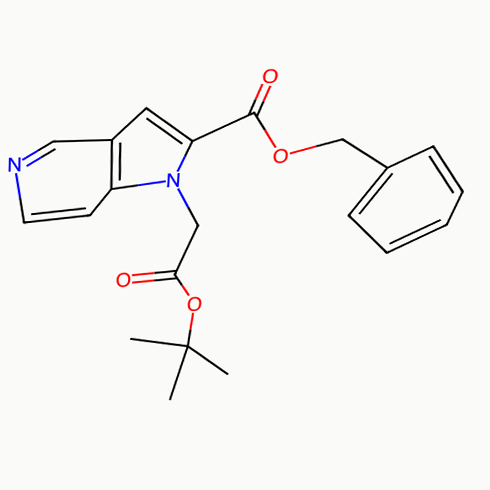 CC(C)(C)OC(=O)Cn1c(C(=O)OCc2ccccc2)cc2cnccc21